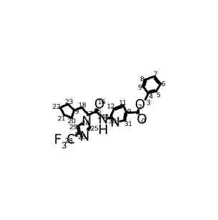 O=C(OCc1ccccc1)c1ccc(NC(=O)C(CC2CCCC2)n2cnc(C(F)(F)F)c2)nc1